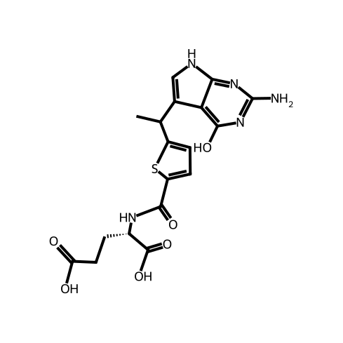 CC(c1ccc(C(=O)N[C@@H](CCC(=O)O)C(=O)O)s1)c1c[nH]c2nc(N)nc(O)c12